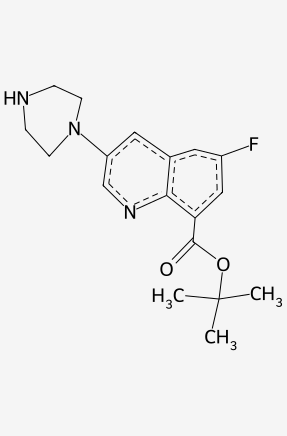 CC(C)(C)OC(=O)c1cc(F)cc2cc(N3CCNCC3)cnc12